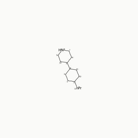 CCCC1CCC(C2CCNCC2)CC1